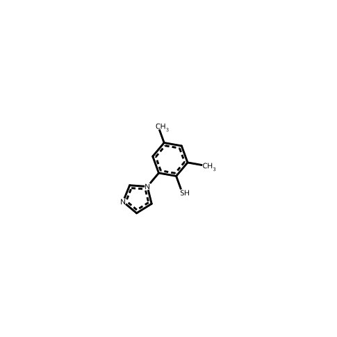 Cc1cc(C)c(S)c(-n2ccnc2)c1